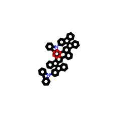 c1ccc2c(c1)-c1ccc(-n3c4ccccc4c4ccccc43)cc1C21c2ccccc2-c2c1cc1c3cccc4c5c(cc(c6cccc2c61)c43)C1(c2ccccc2-c2ccc(-n3c4ccccc4c4ccccc43)cc21)c1ccccc1-5